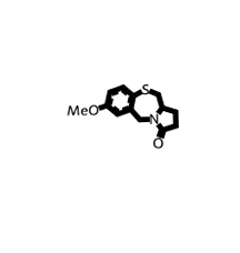 COc1ccc2c(c1)CN1C(=O)CCC1CS2